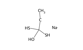 CCC(O)(S)S.[Na]